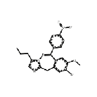 CCCc1cnc2n1N=C(c1ccc([N+](=O)[O-])cc1)c1cc(OC)c(Br)cc1C2